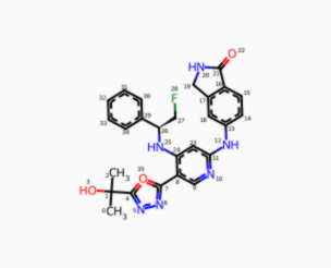 CC(C)(O)c1nnc(-c2cnc(Nc3ccc4c(c3)CNC4=O)cc2N[C@H](CF)c2ccccc2)o1